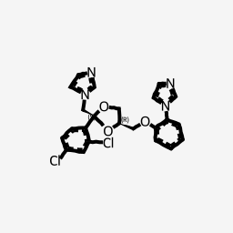 Clc1ccc([C@]2(Cn3ccnc3)OC[C@@H](COc3ccccc3-n3ccnc3)O2)c(Cl)c1